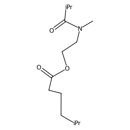 CC(C)CCCC(=O)OCCN(C)C(=O)C(C)C